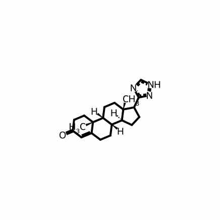 C[C@]12CCC(=O)C=C1CC[C@@H]1[C@H]2CC[C@]2(C)C(c3nc[nH]n3)CC[C@@H]12